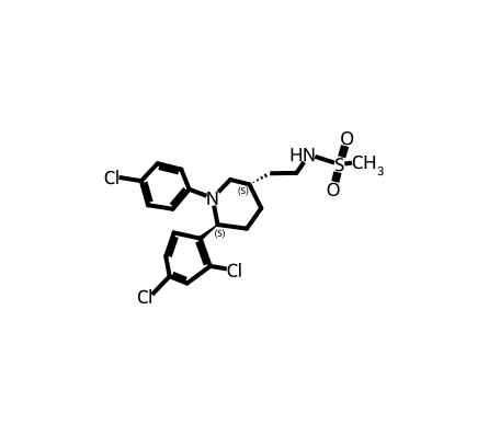 CS(=O)(=O)NCC[C@@H]1CC[C@@H](c2ccc(Cl)cc2Cl)N(c2ccc(Cl)cc2)C1